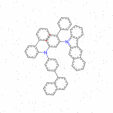 c1ccc(-c2ccccc2N(c2ccc(-c3cccc4ccccc34)cc2)c2ccc(-c3ccccc3)c(-n3c4ccccc4c4cc5ccccc5cc43)c2)cc1